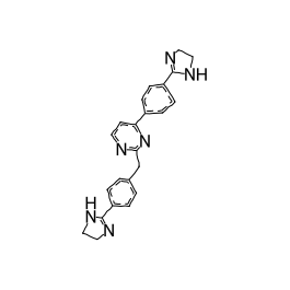 c1cc(-c2ccc(C3=NCCN3)cc2)nc(Cc2ccc(C3=NCCN3)cc2)n1